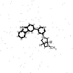 CN1C[C@@H]2CN(c3cncc(-c4ccc5[nH]c6ccccc6c5c4)c3)C[C@H]21